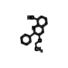 CCOc1cc2cccc(O)c2nc1-c1ccccc1